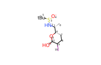 C[C@@H](N[S@+]([O-])C(C)(C)C)[C@@H]1CCC(I)C(O)O1